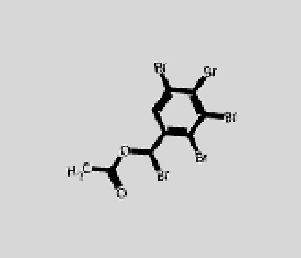 CC(=O)OC(Br)c1cc(Br)c(Br)c(Br)c1Br